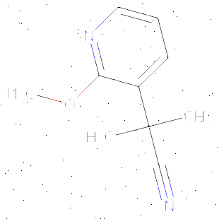 COc1ncccc1C(C)(C)C#N